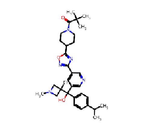 CC(C)c1ccc(C(O)(c2cncc(-c3noc(C4CCN(C(=O)C(C)(C)C)CC4)n3)c2)C2(C)CN(C)C2)cc1